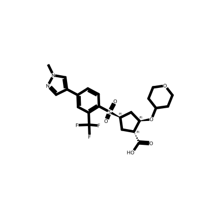 Cn1cc(-c2ccc(S(=O)(=O)[C@H]3C[C@@H](OC4CCOCC4)[C@H](C(=O)O)C3)c(C(F)(F)F)c2)cn1